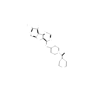 Cc1nnc2sc3c(NC4CCN(C(=O)C5CCOCC5)CC4)ncnc3c2c1C